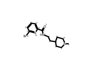 CN1CCC(CCNC(=O)c2cccc(Br)n2)CC1